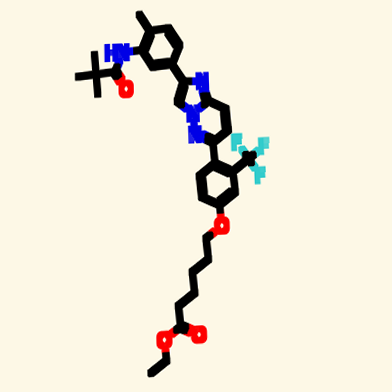 CCOC(=O)CCCCCOc1ccc(-c2ccc3nc(-c4ccc(C)c(NC(=O)C(C)(C)C)c4)cn3n2)c(C(F)(F)F)c1